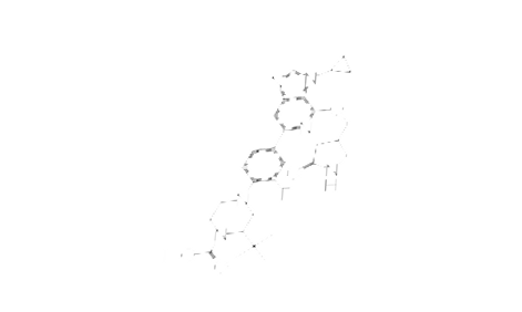 C[C@@H](Oc1nc(-c2ccc(N3CCN(C(=O)O)C(C(C)(C)C)C3)c(F)c2)cc2ncn(C3CC3)c12)C1CNC(=O)C1